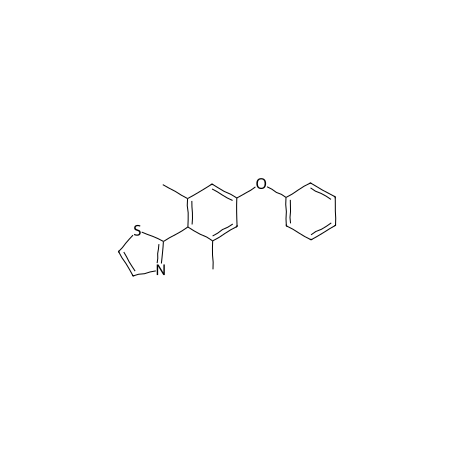 Cc1cc(Oc2ccccc2)cc(C)c1-c1nccs1